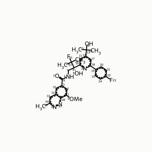 COc1cc(C(=O)NC[C@](O)(c2cc(C(C)(C)O)cc(-c3ccc(F)cc3)n2)C(C)(C)F)cc2cc(C)nnc12